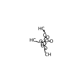 C#CCOC(=O)CC(CC(=O)OCC#C)(OC=O)C(=O)OCC#C